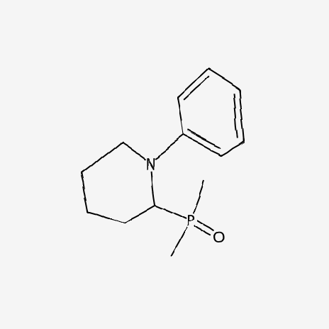 CP(C)(=O)C1CCCCN1c1ccccc1